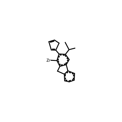 CC(C)c1cc2c([c]([Zr])c1C1=CC=CC1)Cc1ccccc1-2